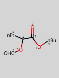 CCCCOC(=O)C(CCC)O[C]=O